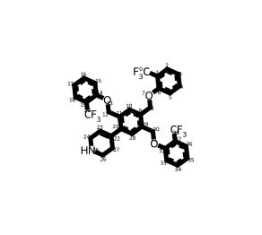 FC(F)(F)c1ccccc1OCc1cc(COc2ccccc2C(F)(F)F)c(C2=CCNCC2)cc1COc1ccccc1C(F)(F)F